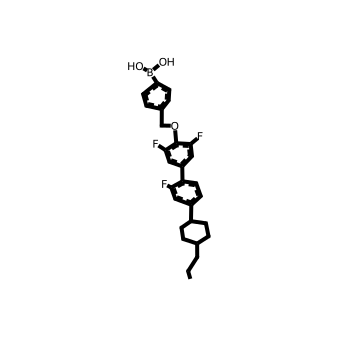 CCCC1CCC(c2ccc(-c3cc(F)c(OCc4ccc(B(O)O)cc4)c(F)c3)c(F)c2)CC1